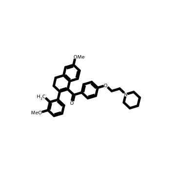 COc1ccc2c(c1)CCC(c1cccc(OC)c1C)=C2C(=O)c1ccc(OCCN2CCCCC2)cc1